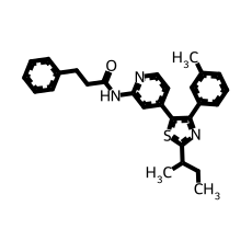 CCC(C)c1nc(-c2cccc(C)c2)c(-c2ccnc(NC(=O)CCc3ccccc3)c2)s1